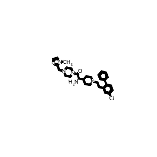 Cn1ccnc1CN1CCN(C(=O)[C@H](N)C2CCN(CCc3cc(Cl)ccc3-c3ccccc3)CC2)CC1